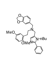 CCCCn1c(CN(CCc2cc(OC)ccc2OC)Cc2ccc3c(c2)OCO3)cnc1-c1ccccc1